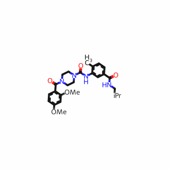 COc1ccc(C(=O)N2CCN(C(=O)Nc3cc(C(=O)NCC(C)C)ccc3C)CC2)c(OC)c1